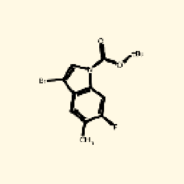 Cc1cc2c(Br)cn(C(=O)OC(C)(C)C)c2cc1F